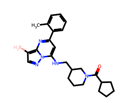 Bc1cnn2c(NCC3CCCN(C(=O)C4CCCC4)C3)cc(-c3ccccc3C)nc12